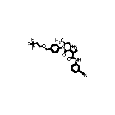 CC1Cn2ncc(C(=O)Nc3cccc(C#N)c3)c2C(=O)N1c1ccc(COCCC(F)(F)F)cc1